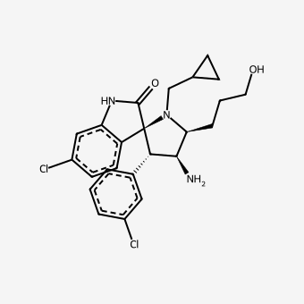 N[C@@H]1[C@H](CCCO)N(CC2CC2)[C@@]2(C(=O)Nc3cc(Cl)ccc32)[C@H]1c1cccc(Cl)c1